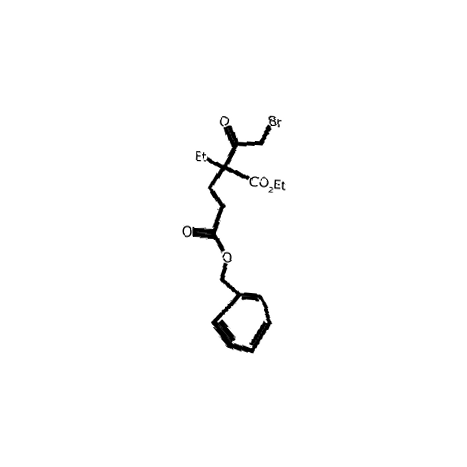 CCOC(=O)C(CC)(CCC(=O)OCc1ccccc1)C(=O)CBr